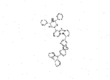 C1=CCC(C2NC(c3cccc4c3sc3cccc(-c5ccc6c(c5)oc5ccc(-n7c8ccccc8c8ccccc87)cc56)c34)=NC(c3ccccc3)N2)C=C1